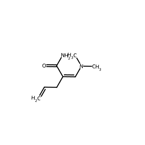 C=CCC(=CN(C)C)C(N)=O